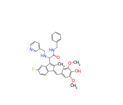 COc1cc(C=C2C(C)=C(C(NCc3cccnc3)C(=O)NCc3ccccc3)c3cc(F)ccc32)cc(OC)c1O